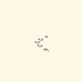 O.O.O.[AlH3].[Fe]